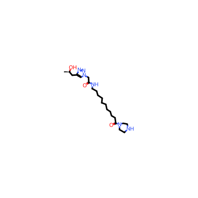 C[C@@H](O)Cc1cn(CC(=O)NCCCCCCCCCCC(=O)N2CCNCC2)nn1